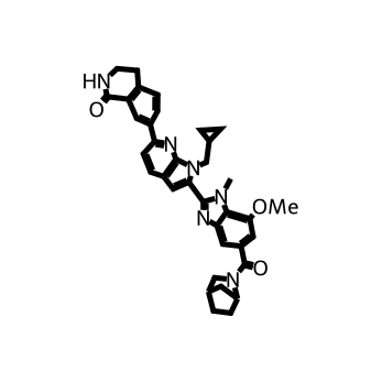 COc1cc(C(=O)N2CC3CCC2C3)cc2nc(-c3cc4ccc(-c5ccc6c(c5)C(=O)NCC6)nc4n3CC3CC3)n(C)c12